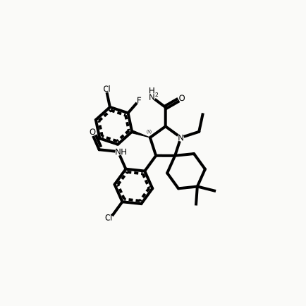 CCN1C(C(N)=O)[C@H](c2cccc(Cl)c2F)C(c2ccc(Cl)cc2NC=O)C12CCC(C)(C)CC2